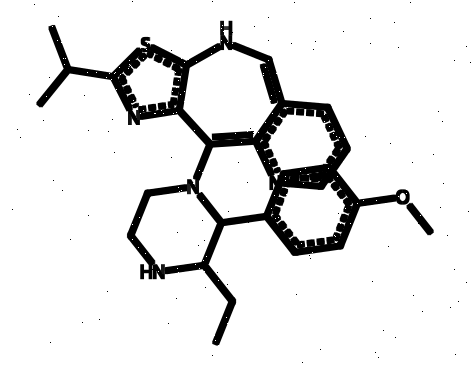 CCC1NCCN(C2=c3ncccc3=CNc3sc(C(C)C)nc32)C1c1ccc(OC)cc1